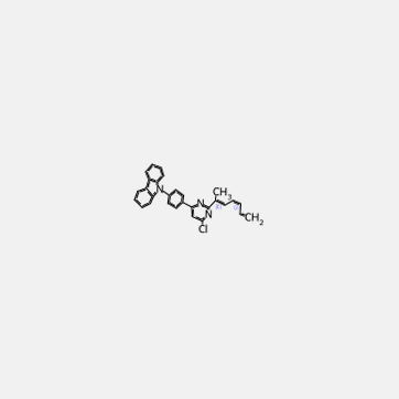 C=C/C=C\C=C(/C)c1nc(Cl)cc(-c2ccc(-n3c4ccccc4c4ccccc43)cc2)n1